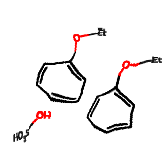 CCOc1ccccc1.CCOc1ccccc1.O=S(=O)(O)O